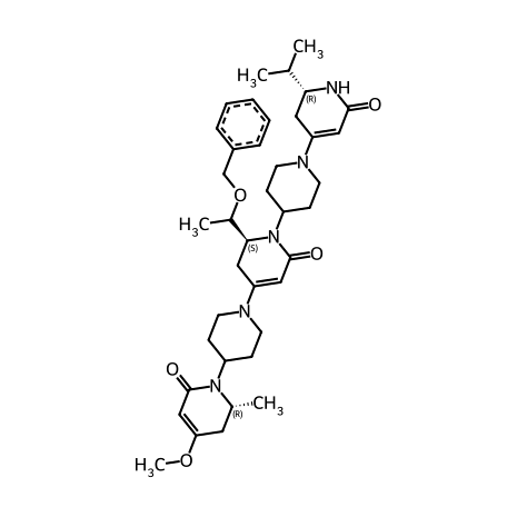 COC1=CC(=O)N(C2CCN(C3=CC(=O)N(C4CCN(C5=CC(=O)N[C@@H](C(C)C)C5)CC4)[C@H](C(C)OCc4ccccc4)C3)CC2)[C@H](C)C1